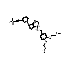 COCCOc1ccc(CNc2ncnc3c2cnn3-c2cccc(C#C[Si](C)(C)C)c2)cc1OCCOC